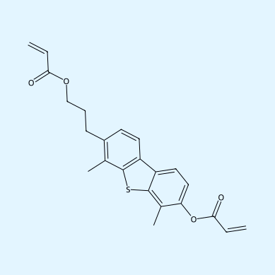 C=CC(=O)OCCCc1ccc2c(sc3c(C)c(OC(=O)C=C)ccc32)c1C